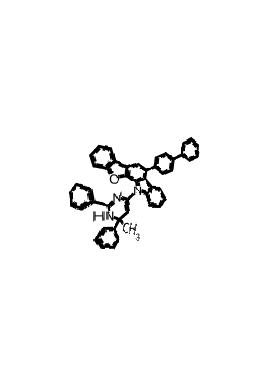 CC1(c2ccccc2)C=C(n2c3ccccc3c3c(-c4ccc(-c5ccccc5)cc4)cc4c5ccccc5oc4c32)N=C(c2ccccc2)N1